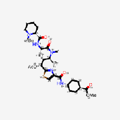 CCCCN1CCCC[C@@H]1C(=O)N[C@H](C(=O)N(C)[C@H](C[C@@H](OC(C)=O)c1nc(C(=O)N[C@H]2CC[C@H](C(=O)OC)CC2)cs1)C(C)C)C(C)C